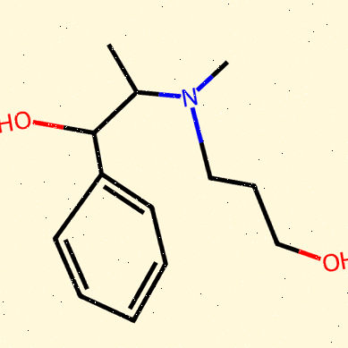 CC(C(O)c1ccccc1)N(C)CCCO